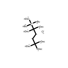 CCCCCCCCCCC(CCCCCCCCCC)(CCCCCCCCCC)CCC(CCCCCCCCCC)(CCCCCCCCCC)[P+](CCCC)(CCCC)CCCCCCCCCC.[Cl-]